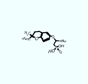 CCCCCCCCCC1(C)CCc2cc(OC(CCCC)CP(=O)(O)O)ccc2O1